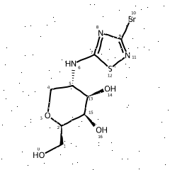 OC[C@H]1OC[C@H](Nc2nc(Br)ns2)[C@@H](O)[C@H]1O